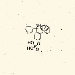 NC(c1ccccc1)(c1ccccc1)c1ccc(OP(=O)(O)O)cc1-c1ccccc1